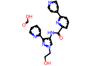 O=C(Nc1cn(CCO)nc1-c1ccccn1)c1cccc(-c2ccncc2)n1.O=CO